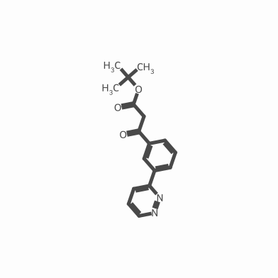 CC(C)(C)OC(=O)CC(=O)c1cccc(-c2cccnn2)c1